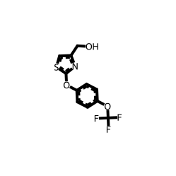 OCc1csc(Oc2ccc(OC(F)(F)F)cc2)n1